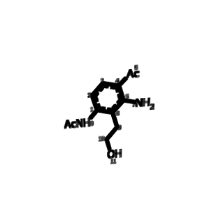 CC(=O)Nc1ccc(C(C)=O)c(N)c1CCO